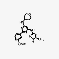 COc1cccc(-c2nc(Nc3cc(C)[nH]n3)cc(NC3CCOCC3)n2)c1